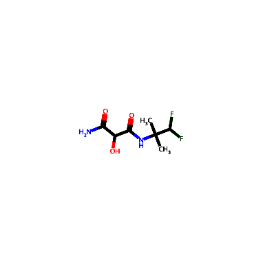 CC(C)(NC(=O)C(O)C(N)=O)C(F)F